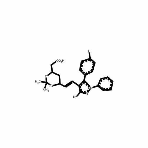 CC(C)c1nn(-c2ccccc2)c(-c2ccc(F)cc2)c1C=CC1CC(CC(=O)O)OC(C)(C)O1